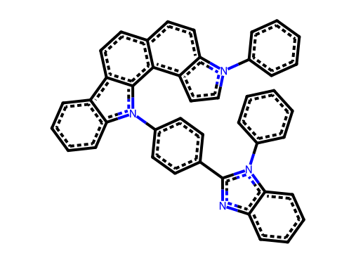 c1ccc(-n2ccc3c4c(ccc5c6ccccc6n(-c6ccc(-c7nc8ccccc8n7-c7ccccc7)cc6)c54)ccc32)cc1